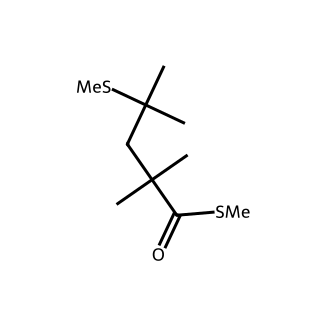 CSC(=O)C(C)(C)CC(C)(C)SC